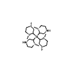 CN1CCNCC1[Si](C1CNCCN1C)(C1CNCCN1C)C1CNCCN1C